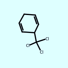 ClC(Cl)(Cl)C1C=CCC=C1